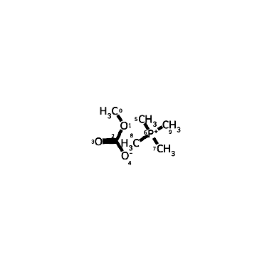 COC(=O)[O-].C[P+](C)(C)C